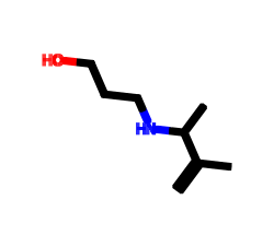 C=C(C)C(C)NCCCO